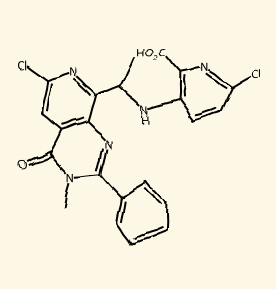 CC(Nc1ccc(Cl)nc1C(=O)O)c1nc(Cl)cc2c(=O)n(C)c(-c3ccccc3)nc12